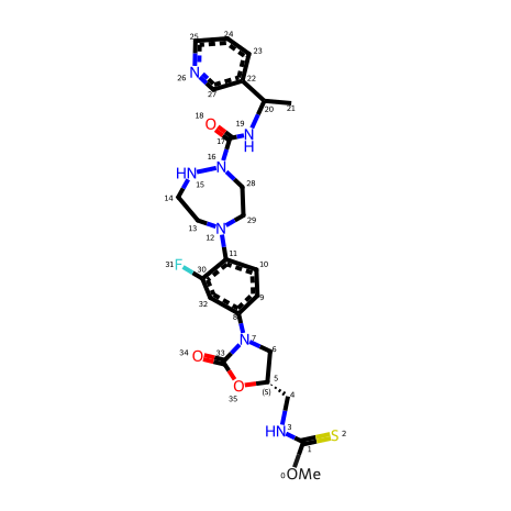 COC(=S)NC[C@H]1CN(c2ccc(N3CCNN(C(=O)NC(C)c4cccnc4)CC3)c(F)c2)C(=O)O1